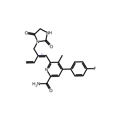 C=C/C(=C\c1nc(C(N)=O)cc(-c2ccc(F)cc2)c1C)CN1C(=O)CNC1=O